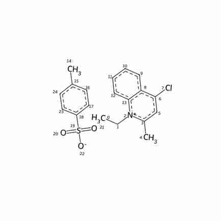 CC[n+]1c(C)cc(Cl)c2ccccc21.Cc1ccc(S(=O)(=O)[O-])cc1